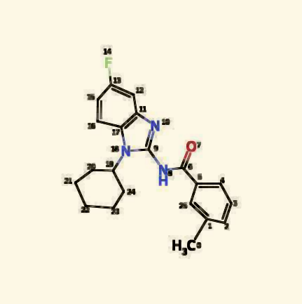 Cc1cccc(C(=O)Nc2nc3cc(F)ccc3n2C2CCCCC2)c1